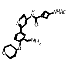 CC(=O)NC1C2CC1C2C(=O)Nc1ccnc(-c2ccc(OC3CCOCC3)c(CN)c2)c1